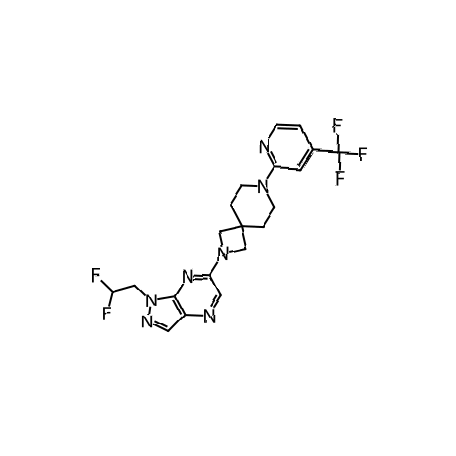 FC(F)Cn1ncc2ncc(N3CC4(CCN(c5cc(C(F)(F)F)ccn5)CC4)C3)nc21